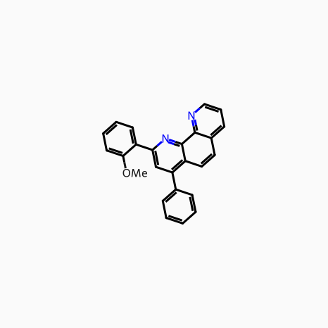 COc1ccccc1-c1cc(-c2ccccc2)c2ccc3cccnc3c2n1